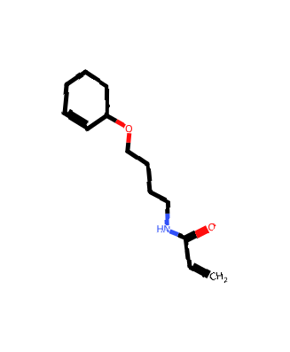 C=CC(=O)NCCCCOC1C=CCCC1